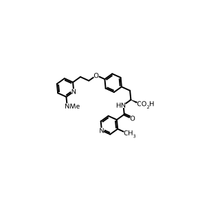 CNc1cccc(CCOc2ccc(C[C@H](NC(=O)c3ccncc3C)C(=O)O)cc2)n1